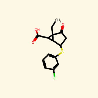 CCC12C(=O)CC(Sc3cccc(Cl)c3)C1C2C(=O)O